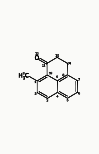 Cc1ccc2cccc3c2c1C(=O)CC3